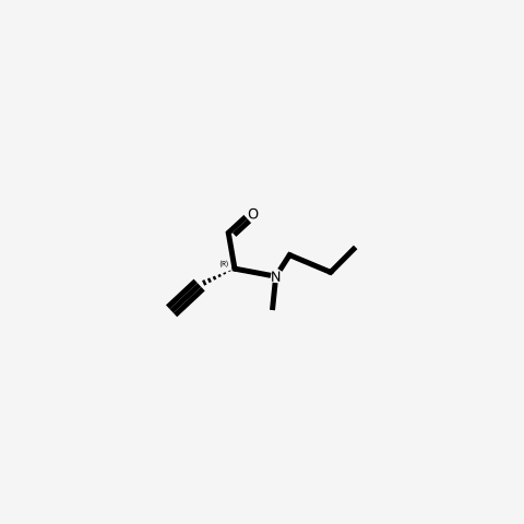 C#C[C@H](C=O)N(C)CCC